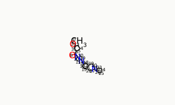 COc1cccc(C(=O)N2CCN(c3ccc4c(c3)CCN(C3CCCC3)CC4)CC2)c1